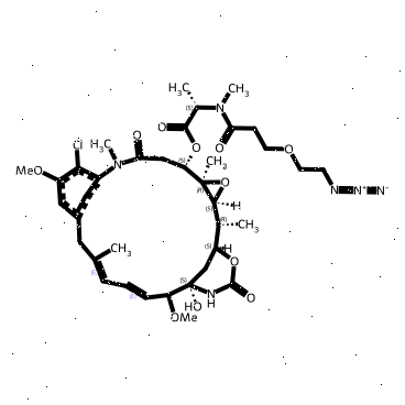 COc1cc2cc(c1Cl)N(C)C(=O)C[C@H](OC(=O)[C@H](C)N(C)C(=O)CCOCCN=[N+]=[N-])[C@@]1(C)O[C@H]1[C@H](C)[C@@H]1C[C@@](O)(NC(=O)O1)C(OC)/C=C/C=C(\C)C2